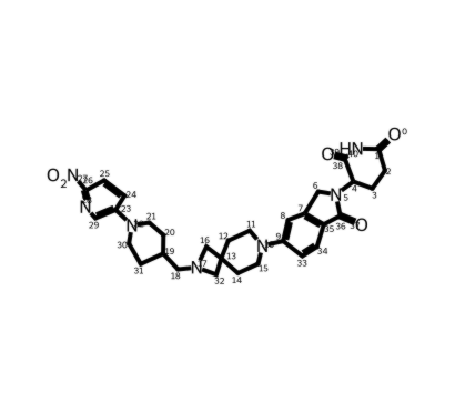 O=C1CCC(N2Cc3cc(N4CCC5(CC4)CN(CC4CCN(c6ccc([N+](=O)[O-])nc6)CC4)C5)ccc3C2=O)C(=O)N1